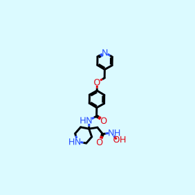 O=C(CC1(NC(=O)c2ccc(OCc3ccncc3)cc2)CCNCC1)NO